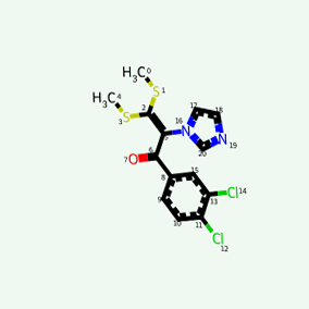 CSC(SC)=C(C(=O)c1ccc(Cl)c(Cl)c1)n1ccnc1